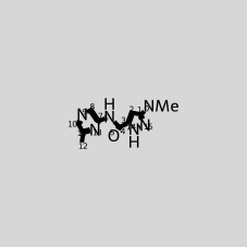 CNc1cc(C(=O)Nc2cncc(C)n2)[nH]n1